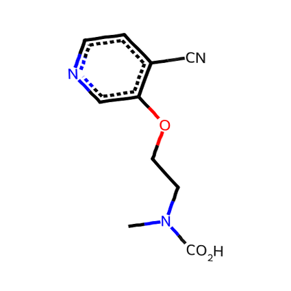 CN(CCOc1cnccc1C#N)C(=O)O